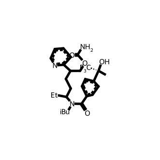 CCC(C)N(C(=O)c1ccc([C@](C)(O)C(F)(F)F)cc1)C(CC)CCC(COC(N)=O)c1ccccn1